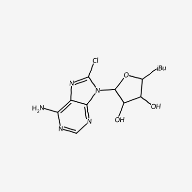 CCC(C)C1OC(n2c(Cl)nc3c(N)ncnc32)C(O)C1O